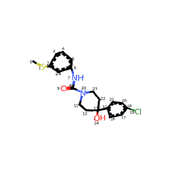 CSc1cccc(NC(=O)N2CCC(O)(c3ccc(Cl)cc3)CC2)c1